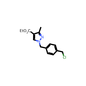 CCOC(=O)c1cn(Cc2ccc(CCl)cc2)nc1C